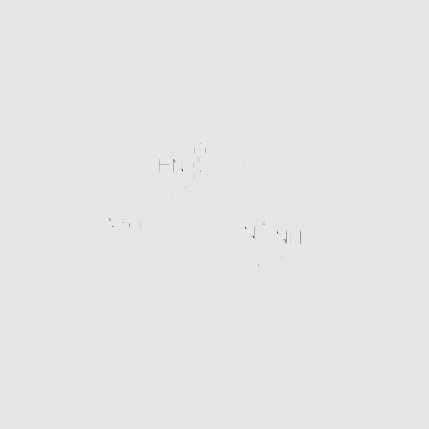 CC(=O)Oc1ccc(NS(=O)(=O)c2cc(-c3sc(NC(=O)C4CCCC4)nc3C)ccc2C)cc1